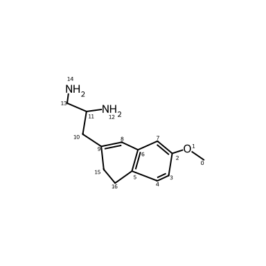 COc1ccc2c(c1)C=C(CC(N)CN)CC2